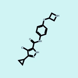 O=C(Nc1ccc(OC2CNC2)cc1)c1[nH]nc(C2CC2)c1Cl